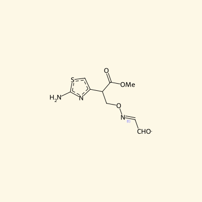 COC(=O)C(CO/N=C/[C]=O)c1csc(N)n1